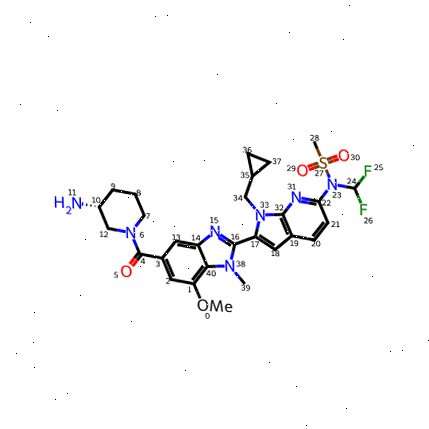 COc1cc(C(=O)N2CCC[C@@H](N)C2)cc2nc(-c3cc4ccc(N(C(F)F)S(C)(=O)=O)nc4n3CC3CC3)n(C)c12